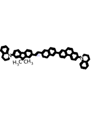 CC1(C)c2cc(/C=C/C3=Cc4ccc(-c5ccc6c(ccc7cc(N8CCCc9ccccc98)ccc76)c5)cc4CC3)ccc2-c2ccc(N3CCCc4ccccc43)cc21